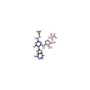 CNS(=O)(=O)C[C@H]1CC(Nc2nc(NCC3CC3)nc(C)c2-c2nc3c(C)nccc3s2)[C@H](O)[C@@H]1O